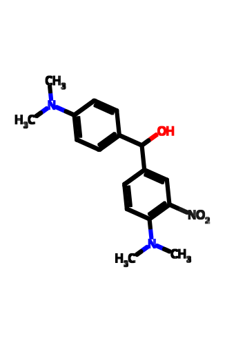 CN(C)c1ccc(C(O)c2ccc(N(C)C)c([N+](=O)[O-])c2)cc1